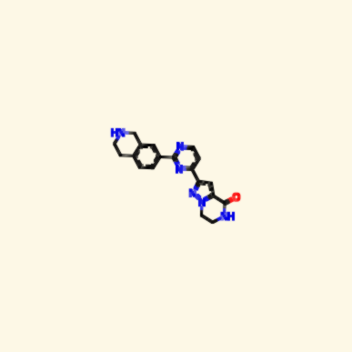 O=C1NCCn2nc(-c3ccnc(-c4ccc5c(c4)CNCC5)n3)cc21